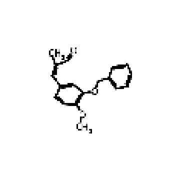 COc1ccc(C=C(C)C=O)cc1OCc1ccccc1